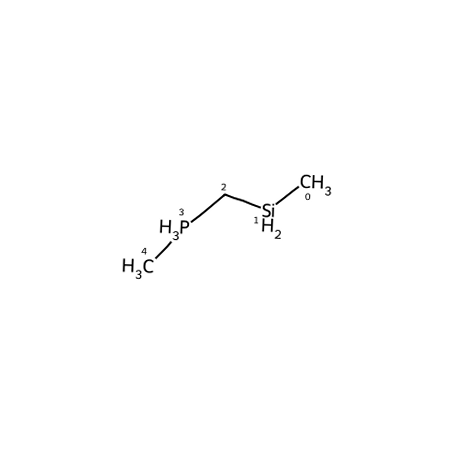 C[SiH2]C[PH3]C